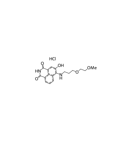 COCCOCCCNc1c(O)cc2c3c(cccc13)C(=O)NC2=O.Cl